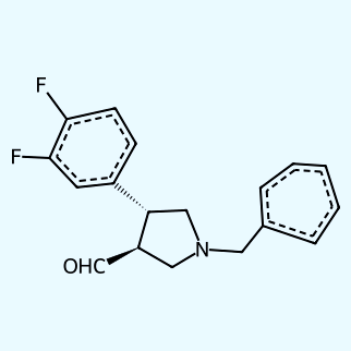 O=C[C@@H]1CN(Cc2ccccc2)C[C@H]1c1ccc(F)c(F)c1